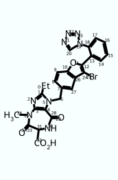 CCc1nc2c(n1Cc1ccc3oc(-c4ccccc4-n4cnnn4)c(Br)c3c1)C(=O)NC(C(=O)O)C(=O)N2C